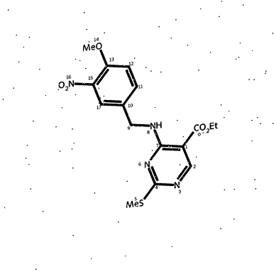 CCOC(=O)c1cnc(SC)nc1NCc1ccc(OC)c([N+](=O)[O-])c1